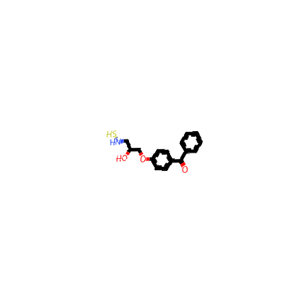 O=C(c1ccccc1)c1ccc(OCC(O)CNS)cc1